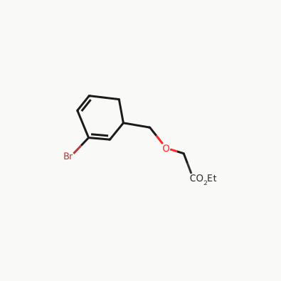 CCOC(=O)COCC1C=C(Br)C=CC1